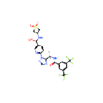 C[C@H](NC(=O)c1cc(C(F)(F)F)cc(C(F)(F)F)c1)c1ncnn1-c1ccc(C(O)NC2CS(=O)(=O)C2)cn1